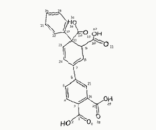 O=C(O)c1ccc(C2=CC(C(=O)O)C(C(=O)O)(c3ccccc3)C=C2)cc1C(=O)O